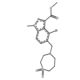 COC(=O)c1nn(C)c2ccc(CN3CCCS(=O)(=O)CC3)c(Br)c12